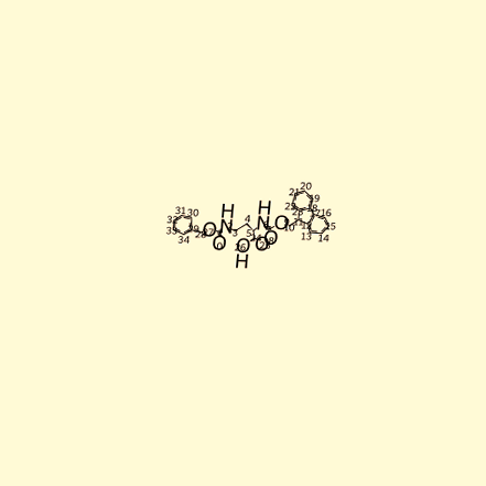 O=C(NCC[C@@H](NC(=O)OCC1c2ccccc2-c2ccccc21)C(=O)O)OCc1ccccc1